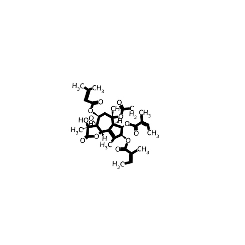 C/C=C(/C)C(=O)O[C@H]1[C@H]2C(=C(C)[C@@H]1OC(=O)/C(C)=C\C)[C@@H]1OC(=O)[C@@](C)(O)[C@@]1(O)[C@@H](OC(=O)C=C(C)C)C[C@]2(C)OC(C)=O